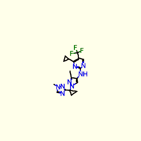 Cc1nn(C2(c3ncn(C)n3)CC2)cc1Nc1ncc(C(F)(F)F)c(C2CC2)n1